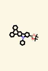 CC1(C)OB(c2ccc3c4cc5c6ccccc6c6ccccc6c5cc4n(-c4ccccc4)c3c2)OC1(C)C